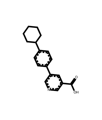 O=C(O)c1cncc(-c2ccc(C3CCCCC3)cc2)c1